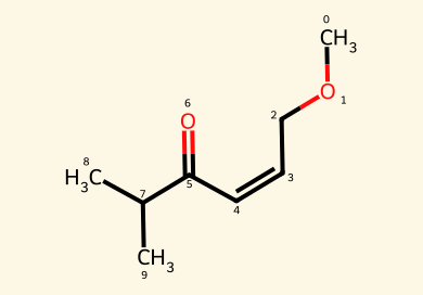 COC/C=C\C(=O)C(C)C